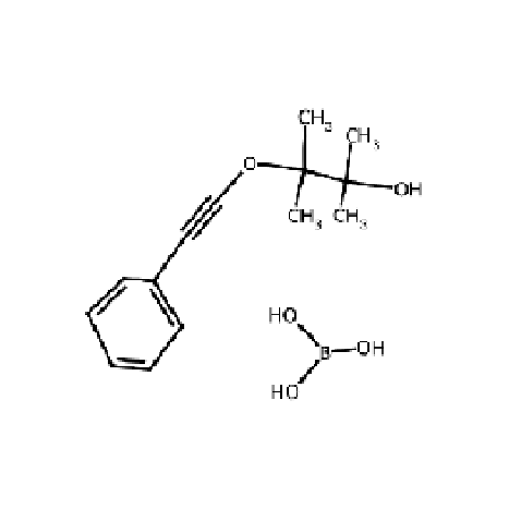 CC(C)(O)C(C)(C)OC#Cc1ccccc1.OB(O)O